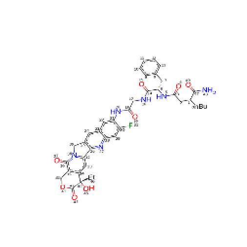 CCCCC(CC(=O)N[C@@H](Cc1ccccc1)C(=O)NCC(=O)Nc1cc2cc3c(nc2cc1F)-c1cc2c(c(=O)n1C3)COC(=O)[C@]2(O)CC)C(N)=O